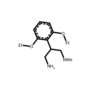 CCOc1cccc(OCC)c1C(CN)CNC